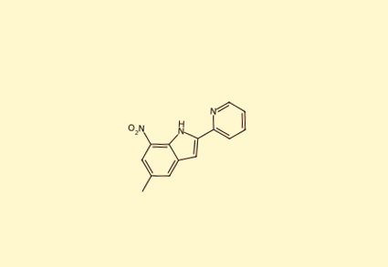 Cc1cc([N+](=O)[O-])c2[nH]c(-c3ccccn3)cc2c1